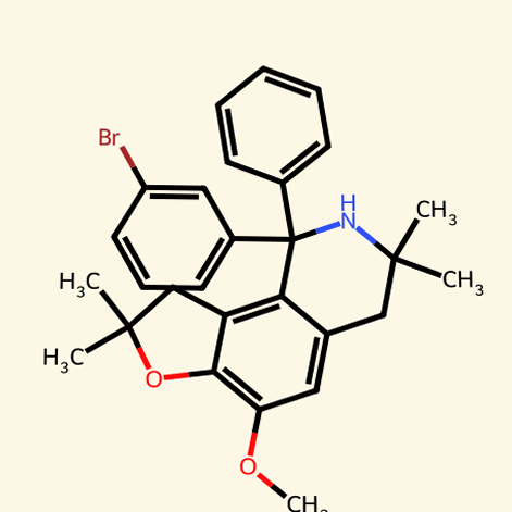 COc1cc2c(c3c1OC(C)(C)C3)C(c1ccccc1)(c1cccc(Br)c1)NC(C)(C)C2